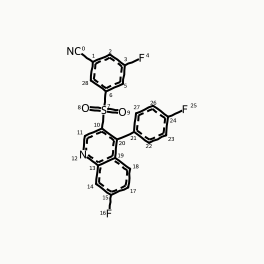 N#Cc1cc(F)cc(S(=O)(=O)c2cnc3cc(F)ccc3c2-c2ccc(F)cc2)c1